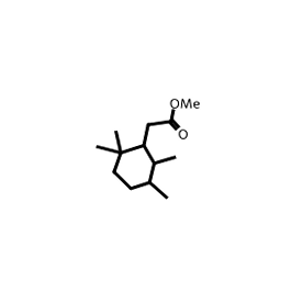 COC(=O)CC1C(C)C(C)CCC1(C)C